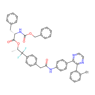 CCc1ccccc1-c1nccnc1-c1ccc(NC(=O)Cc2ccc(C(F)(F)[C@H](C)OC(=O)[C@H](Cc3ccccc3)NC(=O)OCc3ccccc3)cc2)cc1